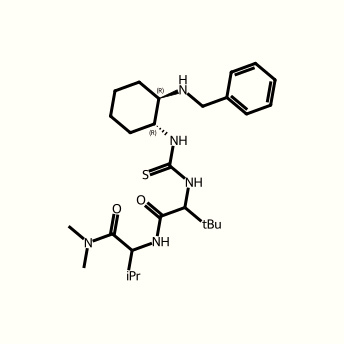 CC(C)C(NC(=O)C(NC(=S)N[C@@H]1CCCC[C@H]1NCc1ccccc1)C(C)(C)C)C(=O)N(C)C